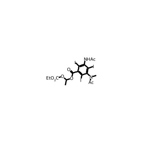 CCOC(=O)OC(C)OC(=O)c1c(I)c(NC(C)=O)c(I)c(N(C)C(C)=O)c1I